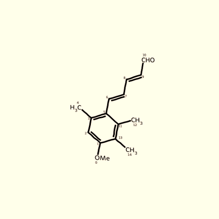 COc1cc(C)c(C=CC=CC=O)c(C)c1C